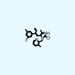 C=C/C(=C\c1c(C)[nH]c(=O)n1Cc1ncccc1C)c1cc(C)cc(F)c1